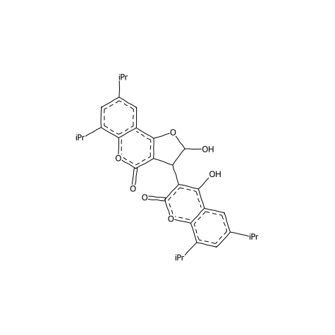 CC(C)c1cc(C(C)C)c2oc(=O)c(C3c4c(c5cc(C(C)C)cc(C(C)C)c5oc4=O)OC3O)c(O)c2c1